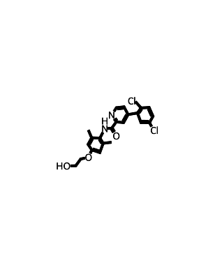 Cc1cc(OCCO)cc(C)c1NC(=O)c1cc(-c2cc(Cl)ccc2Cl)ccn1